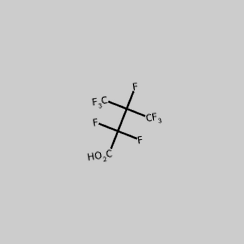 O=C(O)C(F)(F)C(F)(C(F)(F)F)C(F)(F)F